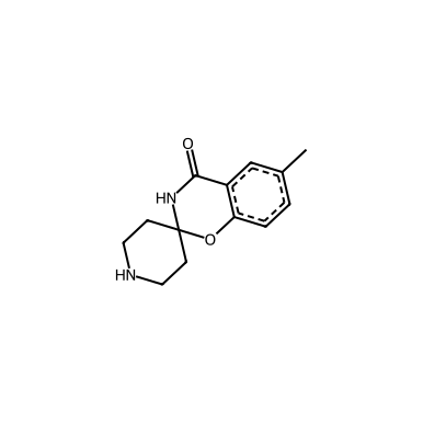 Cc1ccc2c(c1)C(=O)NC1(CCNCC1)O2